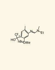 CCCCC(O)(c1cc(C)c(/N=C/N(C)CC)cc1OC)C(F)(F)F